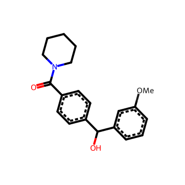 COc1cccc(C(O)c2ccc(C(=O)N3CCCCC3)cc2)c1